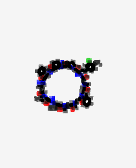 CC[C@H](C)[C@@H]1NC(=O)[C@H](CC(C)C)N(C)C(=O)C[C@@H](C)NC(=O)[C@H](C2CCCC2)N(C)C(=O)C2(CCCC2)NC(=O)[C@@H]2CCCN2C(=O)[C@H](CCc2ccc(C(F)(F)F)c(Cl)c2)NC(=O)CN(C)C(=O)[C@H](CC2CCCCC2)N(C)C(=O)CN(C)C(=O)CN(C)C1=O